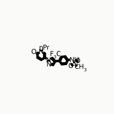 CCCn1cc(-n2cc(-c3ccc(NS(C)(=O)=O)cc3C(F)(F)F)cn2)ccc1=O